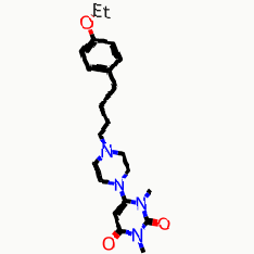 CCOc1ccc(CCCCN2CCN(c3cc(=O)n(C)c(=O)n3C)CC2)cc1